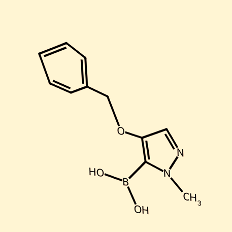 Cn1ncc(OCc2ccccc2)c1B(O)O